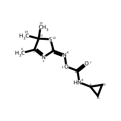 CC1=NC(=NOC(=O)NC2CC2)SC1(C)C